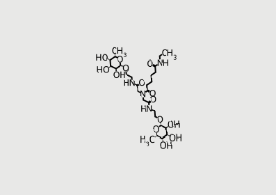 CCNC(=O)CCCCC(=O)N(CC(=O)NCCO[C@@H]1O[C@@H](C)[C@@H](O)[C@@H](O)[C@@H]1O)CC(=O)NCCO[C@@H]1O[C@@H](C)[C@@H](O)[C@@H](O)[C@@H]1O